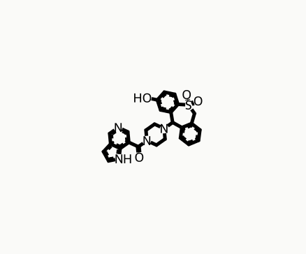 O=C(c1cncc2cc[nH]c12)N1CCN(C2c3ccccc3CS(=O)(=O)c3ccc(O)cc32)CC1